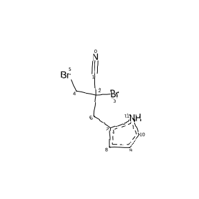 N#CC(Br)(CBr)Cc1ccc[nH]1